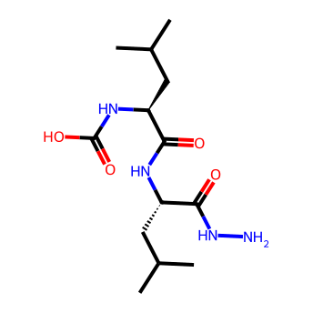 CC(C)C[C@H](NC(=O)O)C(=O)N[C@@H](CC(C)C)C(=O)NN